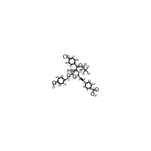 COC(=O)c1ccc(C#CCC[C@@H](NC(=O)OCc2ccc(OC)cc2)[C@H](O[Si](C)(C)C(C)(C)C)c2ccc(Cl)cc2)cc1